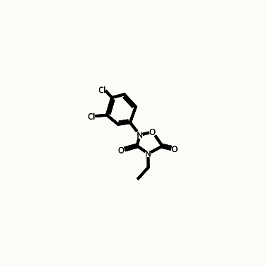 CCn1c(=O)on(-c2ccc(Cl)c(Cl)c2)c1=O